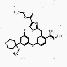 CCOC(=O)c1csc(Cc2cc(Sc3cc(F)cc(C4(OC)CCOCC4)c3)ccc2/C(C)=N/O)n1